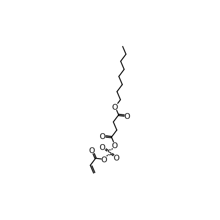 C=CC(=O)OS(=O)(=O)OC(=O)CCC(=O)OCCCCCCCC